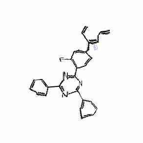 C=C/C=C(\C=C)c1ccc(-c2nc(-c3ccccc3)nc(-c3ccccc3)n2)c(F)c1